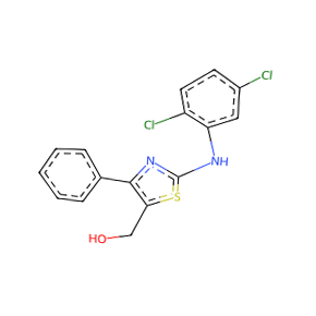 OCc1sc(Nc2cc(Cl)ccc2Cl)nc1-c1ccccc1